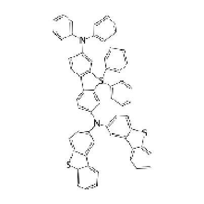 c1ccc(N(c2ccccc2)c2ccc3c(c2)[Si](c2ccccc2)(c2ccccc2)c2cc(N(c4ccc5sc6ccccc6c5c4)c4ccc5sc6ccccc6c5c4)ccc2-3)cc1